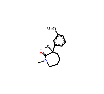 CCC1(c2cccc(OC)c2)CCCCN(C)C1=O